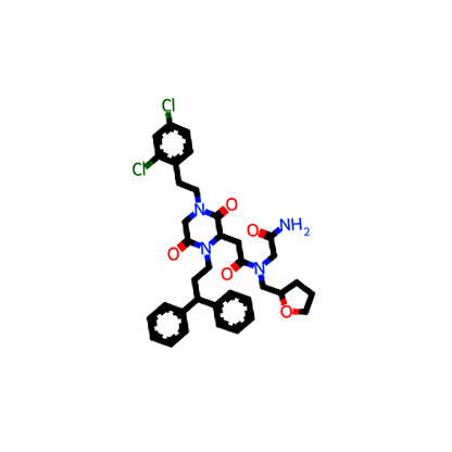 NC(=O)CN(CC1CCCO1)C(=O)CC1C(=O)N(CCc2ccc(Cl)cc2Cl)CC(=O)N1CCC(c1ccccc1)c1ccccc1